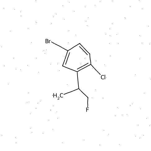 [CH2]C(CF)c1cc(Br)ccc1Cl